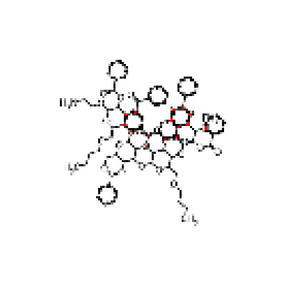 CCCCOCC1OC(OCCN)C(OC(=O)c2ccccc2)C(OC(=O)c2ccccc2)C1OC1OC2COC(c3ccccc3)OC2C(OC2OC(COCCCC)C(OC3OC4COC(c5ccccc5)OC4C(OP)C3OC(=O)c3ccccc3)C(OC(=O)c3ccccc3)C2OC(=O)c2ccccc2)C1OC(=O)c1ccccc1